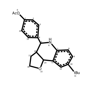 CC(=O)Oc1ccc(C2Nc3ccc(C(C)(C)C)cc3C3OCCC23)cc1